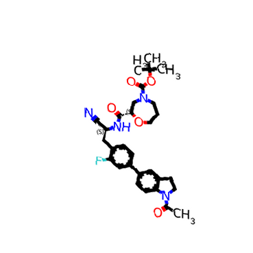 CC(=O)N1CCc2cc(-c3ccc(C[C@@H](C#N)NC(=O)[C@@H]4CN(C(=O)OC(C)(C)C)CCCO4)c(F)c3)ccc21